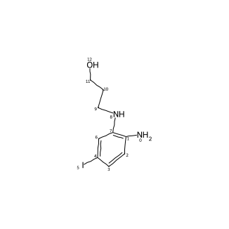 Nc1ccc(I)cc1NCCCO